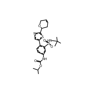 CC(C)OC(=O)Nc1ccc(-c2cnc(C3CC=CCO3)s2)c(S(=O)(=O)NC(C)(C)C)c1